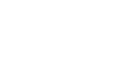 CC1C=c2ccc3c(c2S1)C=CC=3.C[SiH2]C